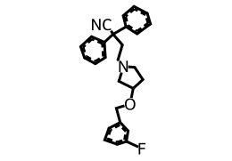 N#CC(CCN1CCC(OCc2cccc(F)c2)C1)(c1ccccc1)c1ccccc1